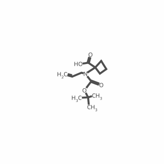 C=CCN(C(=O)OC(C)(C)C)C1(C(=O)O)CCC1